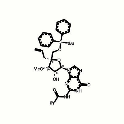 C=CC[C@]1(CO[Si](c2ccccc2)(c2ccccc2)C(C)(C)C)O[C@@H](n2cnc3c(=O)[nH]c(NC(=O)C(C)C)nc32)[C@H](O)[C@@H]1OC